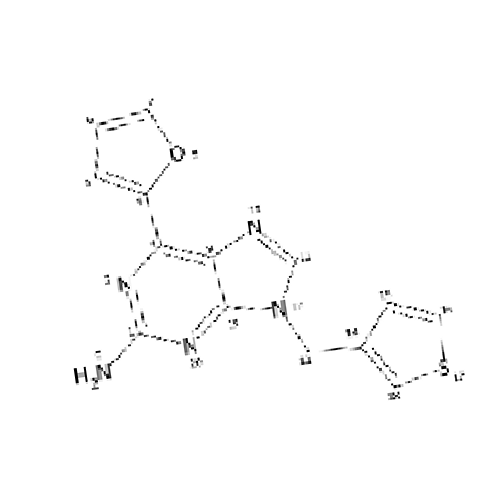 Nc1nc(-c2ccco2)c2ncn(Cc3ccsc3)c2n1